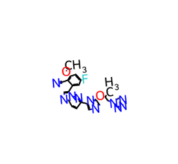 COc1cc(F)cc(-c2cnc3ccc(-c4cncc(OC(C)Cn5cnnn5)n4)nn23)c1C#N